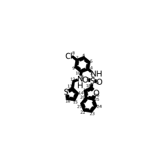 O=S(=O)(Nc1ccc(Cl)cc1NCc1cccs1)c1cc2ccccc2o1